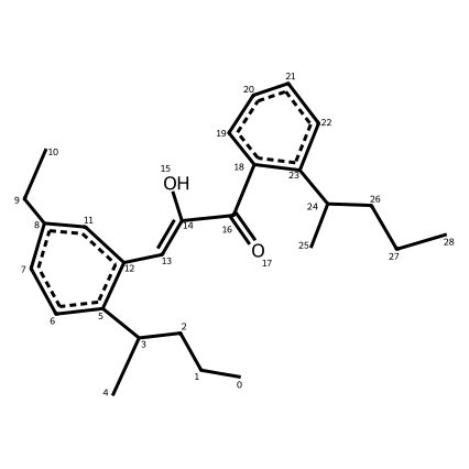 CCCC(C)c1ccc(CC)cc1C=C(O)C(=O)c1ccccc1C(C)CCC